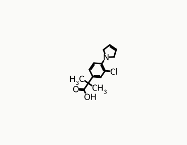 CC(C)(C(=O)O)c1ccc(N2CC=CC2)c(Cl)c1